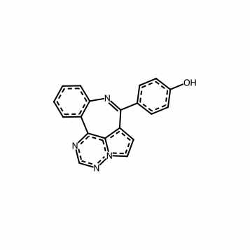 Oc1ccc(C2=Nc3ccccc3-c3ncnn4ccc2c34)cc1